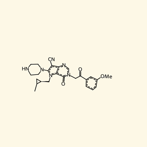 COc1cccc(C(=O)Cn2cnc3c(C#N)c(N4CCNCC4)n(C[C@@H]4CC4C)c3c2=O)c1